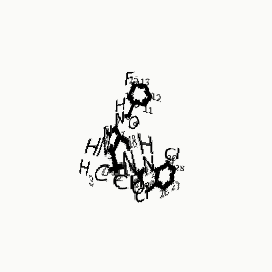 CC1(C)c2[nH]nc(NC(=O)c3cccc(F)c3)c2CN1C(=O)Nc1c(Cl)cccc1Cl